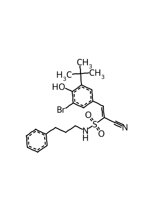 CC(C)(C)c1cc(C=C(C#N)S(=O)(=O)NCCCc2ccccc2)cc(Br)c1O